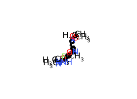 Cc1cc(CC(=O)Nc2cnn(C(C)(C)C)c2)c(F)cc1Oc1ccnc2ccc(CC3CCN(C(=O)OC(C)(C)C)CC3)cc12